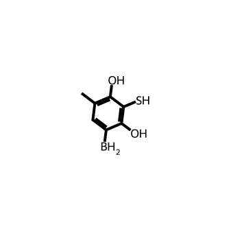 Bc1cc(C)c(O)c(S)c1O